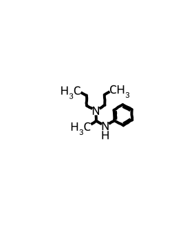 CCCN(CCC)C(C)Nc1ccccc1